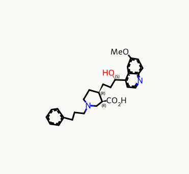 COc1ccc2nccc([C@@H](O)CC[C@@H]3CCN(CCCc4ccccc4)C[C@@H]3C(=O)O)c2c1